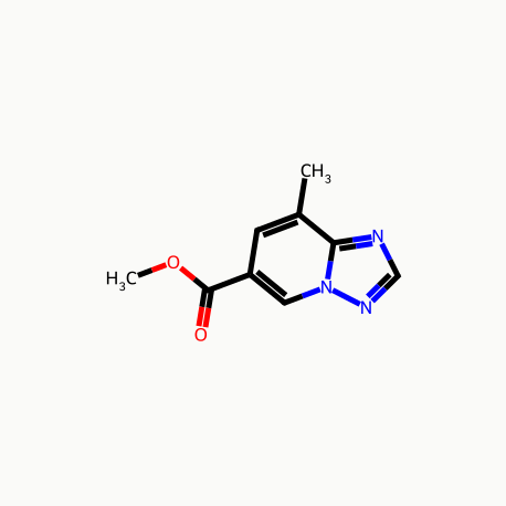 COC(=O)c1cc(C)c2ncnn2c1